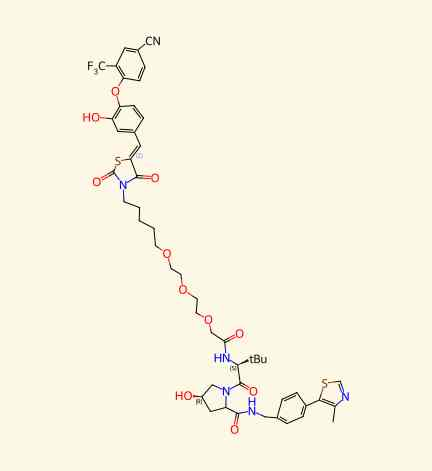 Cc1ncsc1-c1ccc(CNC(=O)C2C[C@@H](O)CN2C(=O)[C@@H](NC(=O)COCCOCCOCCCCCN2C(=O)S/C(=C\c3ccc(Oc4ccc(C#N)cc4C(F)(F)F)c(O)c3)C2=O)C(C)(C)C)cc1